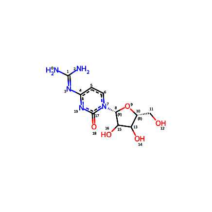 NC(N)=Nc1ccn([C@@H]2O[C@H](CO)C(O)C2O)c(=O)n1